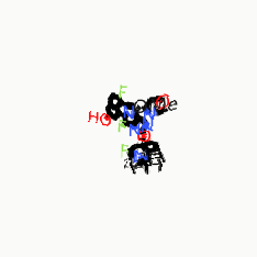 [2H]C([2H])([2H])N1CC(F)C[C@@]2(COc3nc(N4CCCOCC4)c4c(OC)nc(-c5cc(O)cc6ccc(F)c(C#C)c56)c(F)c4n3)CCC[C@@H]12